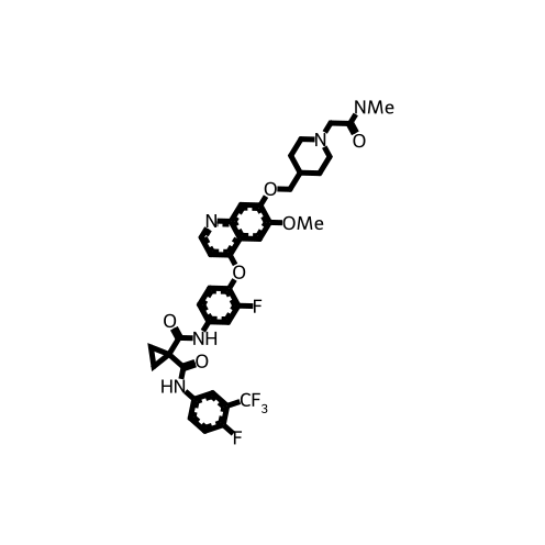 CNC(=O)CN1CCC(COc2cc3nccc(Oc4ccc(NC(=O)C5(C(=O)Nc6ccc(F)c(C(F)(F)F)c6)CC5)cc4F)c3cc2OC)CC1